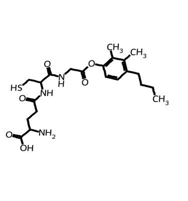 CCCCc1ccc(OC(=O)CNC(=O)C(CS)NC(=O)CCC(N)C(=O)O)c(C)c1C